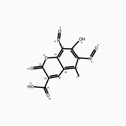 Cc1c(N=O)c(O)c(N=O)c2oc(=O)c(C(=O)O)cc12